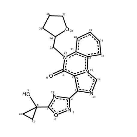 O=c1c2c(-c3noc(C4(O)CC4)n3)ncn2c2ccccc2n1CC1CCCO1